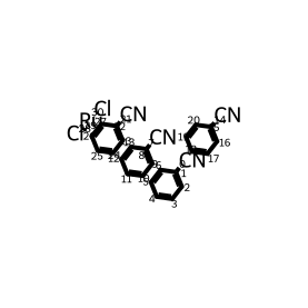 N#Cc1ccccc1.N#Cc1ccccc1.N#Cc1ccccc1.N#Cc1ccccc1.[Cl][Ru][Cl]